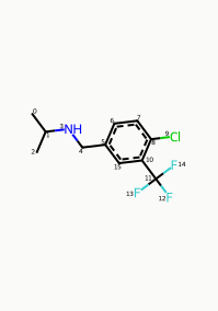 CC(C)NCc1ccc(Cl)c(C(F)(F)F)c1